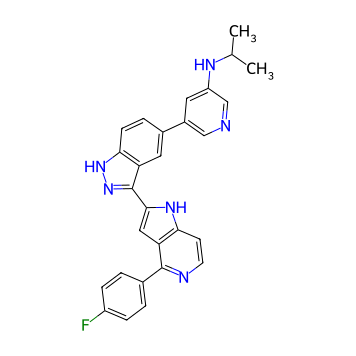 CC(C)Nc1cncc(-c2ccc3[nH]nc(-c4cc5c(-c6ccc(F)cc6)nccc5[nH]4)c3c2)c1